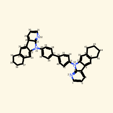 c1cnc2c(c1)c1cc3c(cc1n2-c1ccc(-c2ccc(-n4c5cc6c(cc5c5cccnc54)CCCC6)cc2)cc1)CCCC3